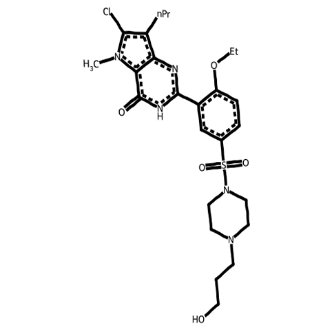 CCCc1c(Cl)n(C)c2c(=O)[nH]c(-c3cc(S(=O)(=O)N4CCN(CCCO)CC4)ccc3OCC)nc12